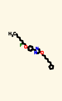 CCCCCC[C@@H](F)COc1ccc(-c2ncc(OCCCCCCC3CCCC3)cn2)cc1